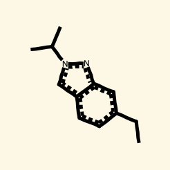 CCc1ccc2cn(C(C)C)nc2c1